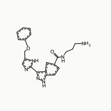 NCCCNC(=O)c1ccc2[nH]nc(-c3ncc(COc4ccccc4)[nH]3)c2c1